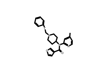 Cc1ccnc(N(C(=O)c2ccoc2)C2CCN(CCc3ccccc3)CC2)c1